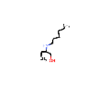 CCCCCCNC(CC)CO